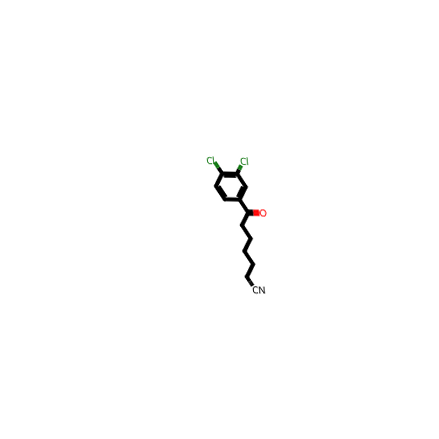 N#CCCCCCC(=O)c1ccc(Cl)c(Cl)c1